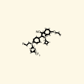 N#Cc1c(-c2ccc(N(CCF)c3nc(C(F)(F)F)cs3)cc2)n(C2CCC2)c2cc(OCCF)ccc12